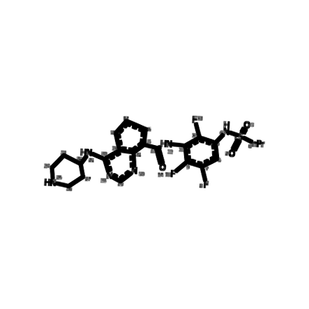 CCCS(=O)(=O)Nc1cc(F)c(F)c(NC(=O)c2cccc3c(NC4CCNCC4)ncnc23)c1F